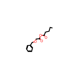 CCC[CH]C(=O)OC(=O)COCc1ccccc1